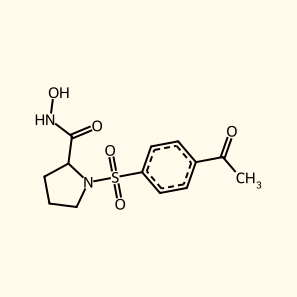 CC(=O)c1ccc(S(=O)(=O)N2CCCC2C(=O)NO)cc1